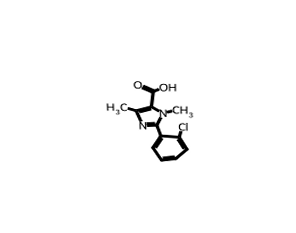 Cc1nc(-c2ccccc2Cl)n(C)c1C(=O)O